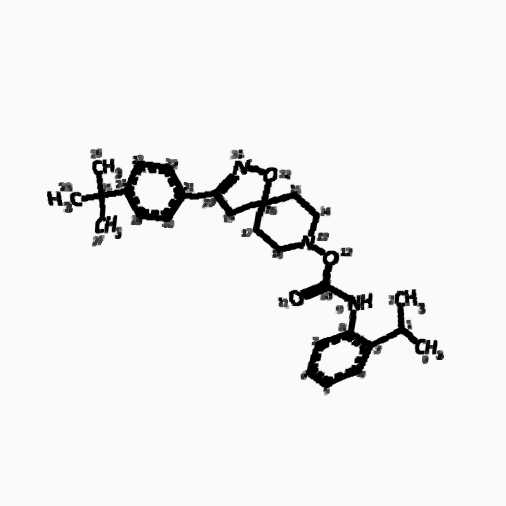 CC(C)c1ccccc1NC(=O)ON1CCC2(CC1)CC(c1ccc(C(C)(C)C)cc1)=NO2